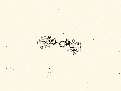 O=P(O)(O)C(O)(Cc1cnc2cc(-c3cn(CC(O)(P(=O)(O)O)P(=O)(O)O)cn3)ccn12)P(=O)(O)O